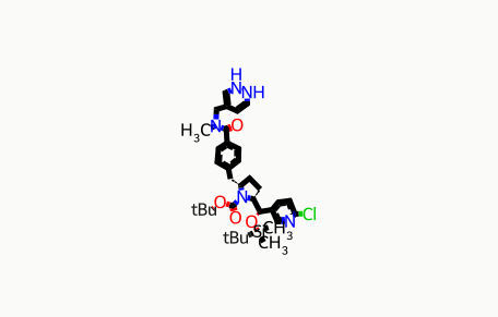 CN(CC1=CNNC=C1)C(=O)c1ccc(C[C@@H]2CC[C@H]([C@H](O[Si](C)(C)C(C)(C)C)c3ccc(Cl)nc3)N2C(=O)OC(C)(C)C)cc1